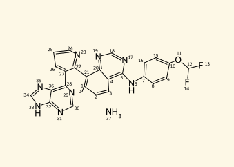 Cc1ccc2c(Nc3ccc(OC(F)F)cc3)ncnc2c1-c1ncccc1-c1ncnc2[nH]cnc12.N